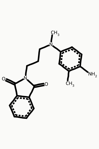 Cc1cc(N(C)CCCN2C(=O)c3ccccc3C2=O)ccc1N